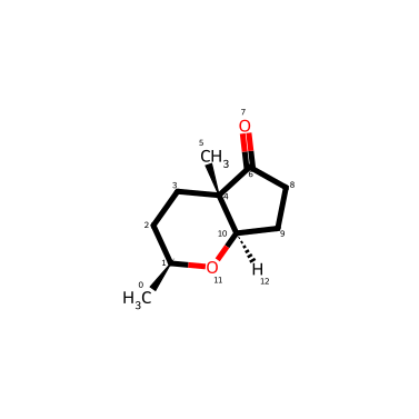 C[C@H]1CC[C@]2(C)C(=O)CC[C@H]2O1